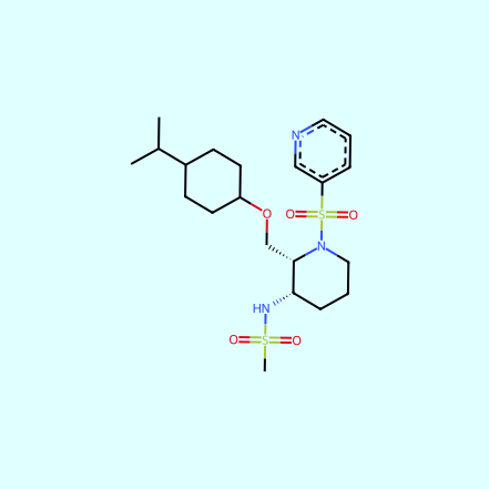 CC(C)C1CCC(OC[C@H]2[C@@H](NS(C)(=O)=O)CCCN2S(=O)(=O)c2cccnc2)CC1